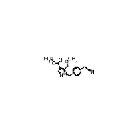 COCc1c(C(=O)OC)cnn1Cc1ccc(CC#N)cc1